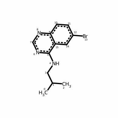 CC(C)CNc1ncnc2ccc(Br)cc12